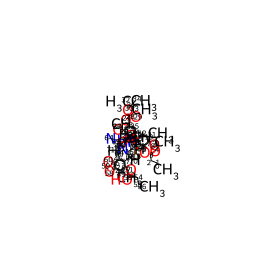 CCCC(=O)Oc1c(OC)c(C)cc2c1[C@H]1C3[C@@H]4SC[C@]5(NCCc6cc(OC(=O)OC(C)(C)C)c(OC)cc65)C(=O)OC[C@@H](c5c6c(c(C)c(OC(O)CCC)c54)OCO6)N3[C@@H](C#N)[C@@H](C2)N1C